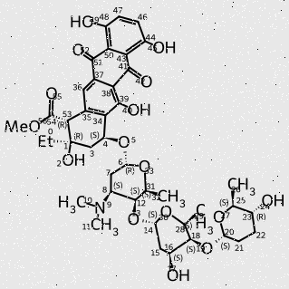 CC[C@@]1(O)C[C@H](O[C@H]2C[C@H](N(C)C)[C@H](O[C@H]3C[C@H](O)[C@H](O[C@H]4CC[C@@H](O)[C@H](C)O4)[C@H](C)O3)[C@H](C)O2)c2c(cc3c(c2O)C(=O)c2c(O)ccc(O)c2C3=O)[C@H]1C(=O)OC